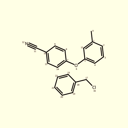 Cc1cccc(Oc2ccc(C#N)cc2)c1.ClCc1ccccc1